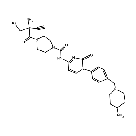 C#CC(N)(CO)C(=O)N1CCN(C(=O)Nc2ccn(-c3ccc(CN4CCC(N)CC4)cc3)c(=O)n2)CC1